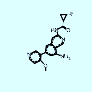 COc1ccncc1-c1cc(N)c2cnc(NC(=O)[C@@H]3C[C@@H]3F)cc2c1